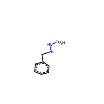 O=C(O)NNCc1ccccc1